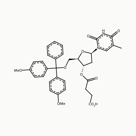 COc1ccc(C(OC[C@H]2O[C@@H](n3cc(C)c(=O)[nH]c3=O)C[C@@H]2OC(=O)CCC(=O)O)(c2ccccc2)c2ccc(OC)cc2)cc1